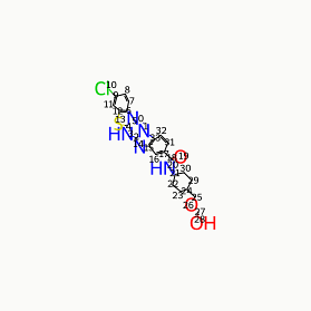 Cn1c(Nc2nc3ccc(Cl)cc3s2)nc2cc(C(=O)NC3CCC(COCO)CC3)ccc21